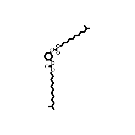 CC(C)CCCCCCCCCCOC(=O)OC1CCCC(OC(=O)OCCCCCCCCCC(C)C)C1